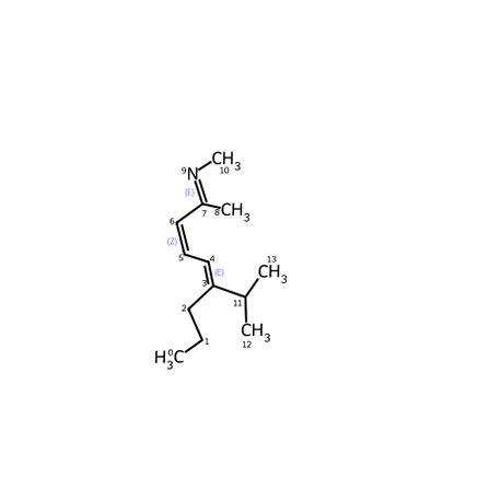 CCC\C(=C/C=C\C(C)=N\C)C(C)C